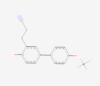 N#CCCc1cc(-c2ccc(OC(F)(F)F)cc2)ccc1O